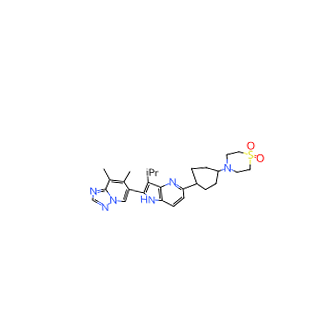 Cc1c(-c2[nH]c3ccc(C4CCC(N5CCS(=O)(=O)CC5)CC4)nc3c2C(C)C)cn2ncnc2c1C